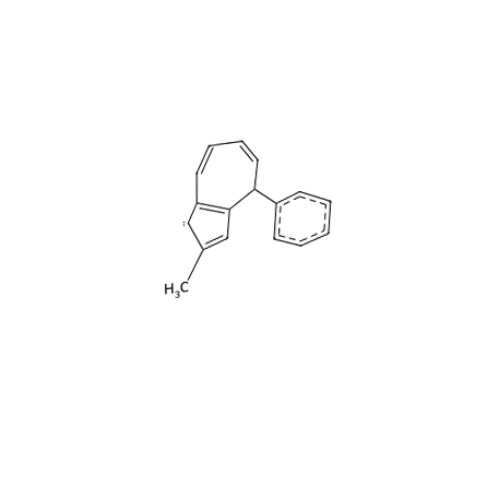 CC1=CC2=C([C]1)C=CC=CC2c1ccccc1